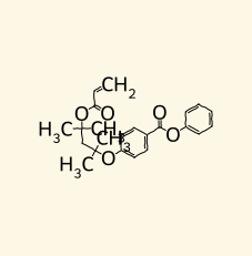 C=CC(=O)OC(C)(C)CC(C)(C)Oc1ccc(C(=O)Oc2ccccc2)cc1